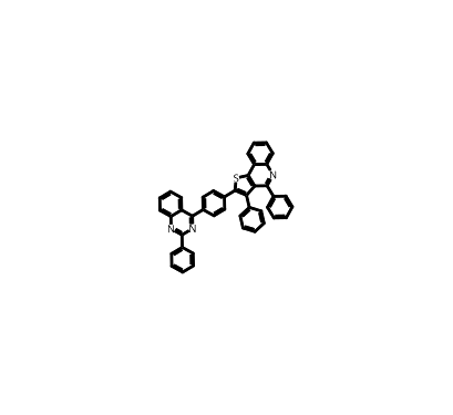 c1ccc(-c2nc(-c3ccc(-c4sc5c(c(-c6ccccc6)nc6ccccc65)c4-c4ccccc4)cc3)c3ccccc3n2)cc1